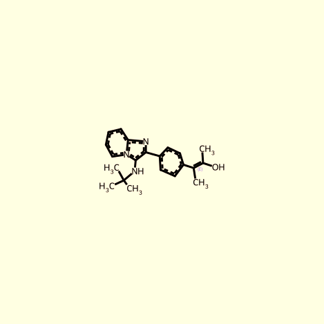 C/C(O)=C(/C)c1ccc(-c2nc3ccccn3c2NC(C)(C)C)cc1